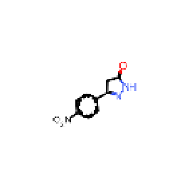 O=C1CC(c2ccc([N+](=O)[O-])cc2)=NN1